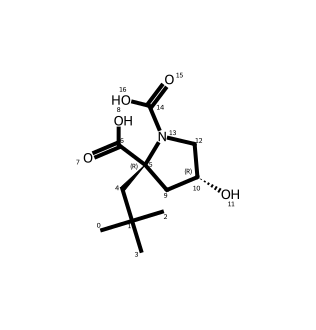 CC(C)(C)C[C@]1(C(=O)O)C[C@@H](O)CN1C(=O)O